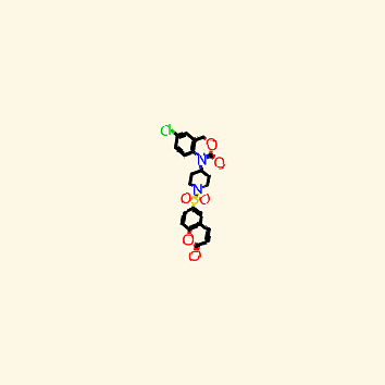 O=C1OCc2cc(Cl)ccc2N1C1CCN(S(=O)(=O)c2ccc3oc(=O)ccc3c2)CC1